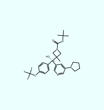 CC(C)(C)OC(=O)N1CC(C)([C@](O)(c2ccc(OC(F)(F)F)cc2)c2cncc(N3CCCC3)c2)C1